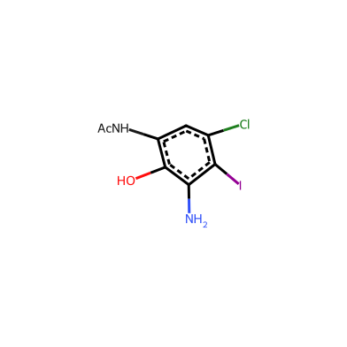 CC(=O)Nc1cc(Cl)c(I)c(N)c1O